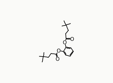 CC(C)(C)CCC(=O)Oc1ccccc1OC(=O)CCC(C)(C)C